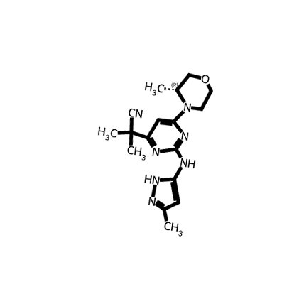 Cc1cc(Nc2nc(N3CCOC[C@H]3C)cc(C(C)(C)C#N)n2)[nH]n1